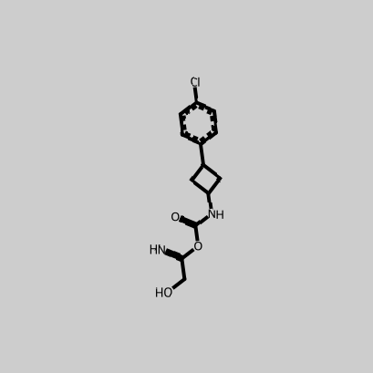 N=C(CO)OC(=O)NC1CC(c2ccc(Cl)cc2)C1